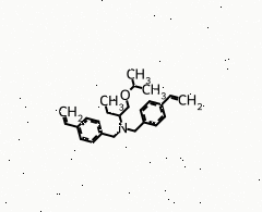 C=Cc1ccc(CN(Cc2ccc(C=C)cc2)C(CC)COC(C)C)cc1